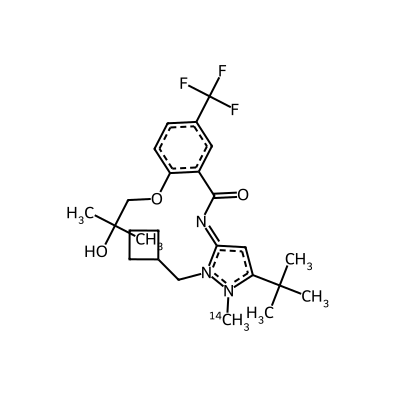 CC(C)(O)COc1ccc(C(F)(F)F)cc1C(=O)/N=c1\cc(C(C)(C)C)n([14CH3])n1CC1CCC1